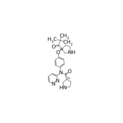 CC(C)(C)C(=O)[C@]1(Oc2ccc(N(C(=O)[C@H]3CCNC3)c3cccnn3)cc2)CCNC1